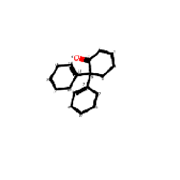 O=C1CCCCC1(C1=CCCCC1)C1=CCCCC1